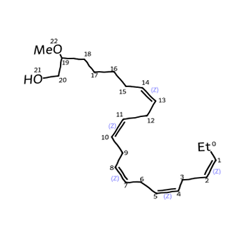 CC/C=C\C/C=C\C/C=C\C/C=C\C/C=C\CCCCC(CO)OC